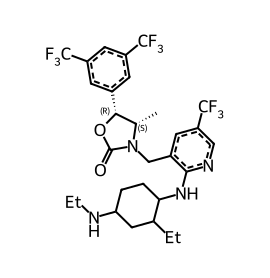 CCNC1CCC(Nc2ncc(C(F)(F)F)cc2CN2C(=O)O[C@H](c3cc(C(F)(F)F)cc(C(F)(F)F)c3)[C@@H]2C)C(CC)C1